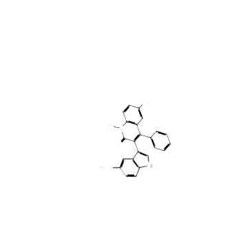 Cc1ccc2[nH]cc(-c3c(-c4ccccc4)c4cc(Cl)ccc4n(C)c3=O)c2c1